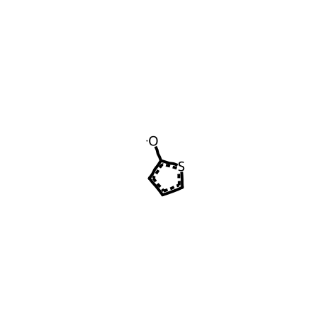 [O]c1cccs1